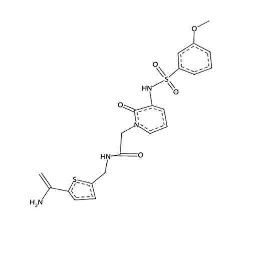 C=C(N)c1ccc(CNC(=O)Cn2cccc(NS(=O)(=O)c3cccc(OC)c3)c2=O)s1